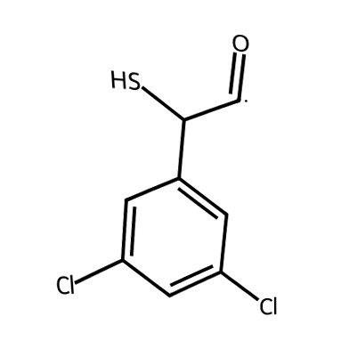 O=[C]C(S)c1cc(Cl)cc(Cl)c1